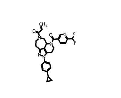 C=CC(=O)N1CCc2nn(-c3ccc(C4CC4)cc3)c3c2C(C1)N(C(=O)c1ccc(C(F)F)nc1)CC3